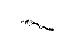 C=CCOC[SiH2]OC(C)C